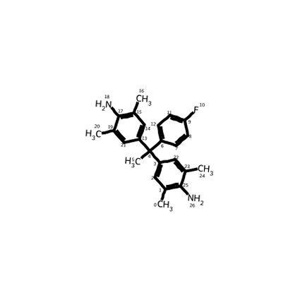 Cc1cc(C(C)(c2ccc(F)cc2)c2cc(C)c(N)c(C)c2)cc(C)c1N